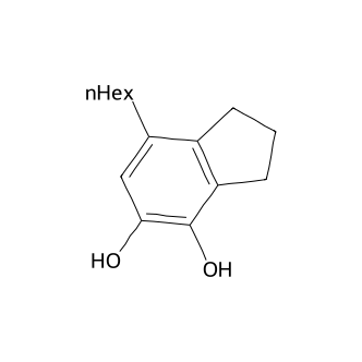 [CH2]CCCCCc1cc(O)c(O)c2c1CCC2